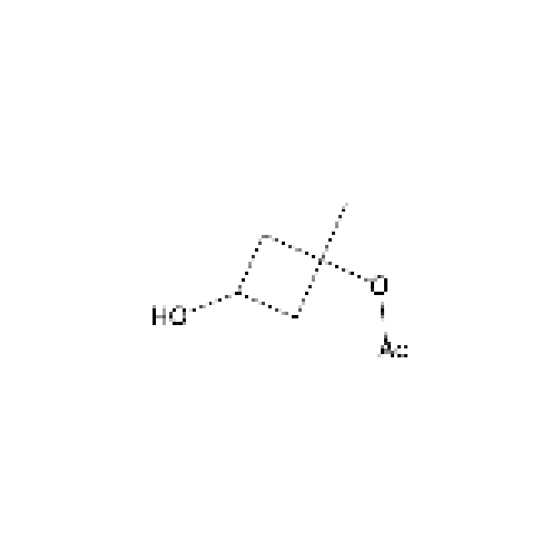 CC(=O)OC1(C)CC(O)C1